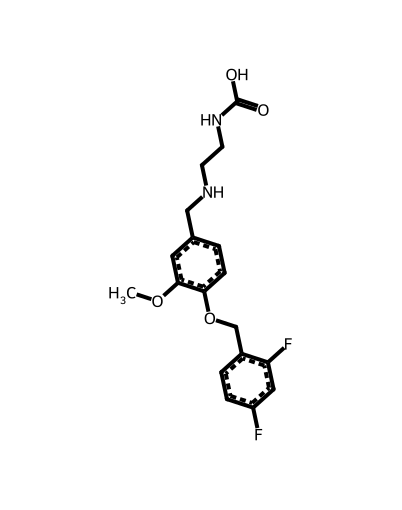 COc1cc(CNCCNC(=O)O)ccc1OCc1ccc(F)cc1F